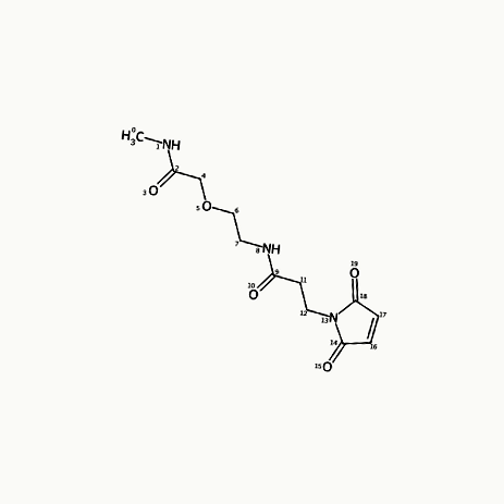 CNC(=O)COCCNC(=O)CCN1C(=O)C=CC1=O